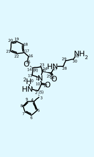 [2H]N[C@@H](Cc1ccccc1)C(=O)N1C[C@H](OCc2ccccc2)C[C@H]1C(=O)NCCCN